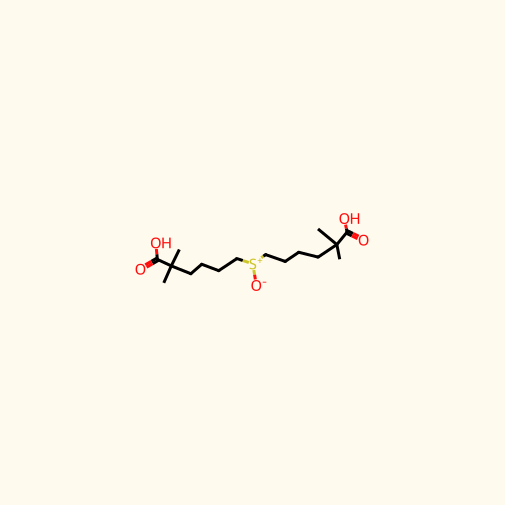 CC(C)(CCCC[S+]([O-])CCCCC(C)(C)C(=O)O)C(=O)O